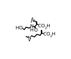 C=C(CCCCN(C)C)C(=O)O.CN(C)C=C(C(=O)O)C(=O)NCCCO